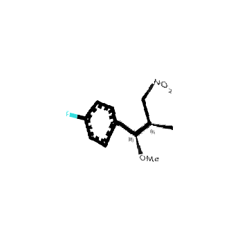 CO[C@@H](c1ccc(F)cc1)[C@H](C)C[N+](=O)[O-]